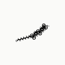 CCCCCCCCCCCOC(=O)c1ccc(OC(=O)c2ccc([N+](=O)[O-])cc2)cc1